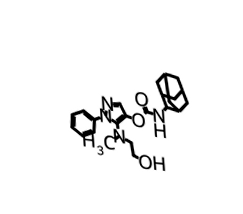 CN(CCO)c1c(OC(=O)NC2C3CC4CC(C3)CC2C4)cnn1-c1ccccc1